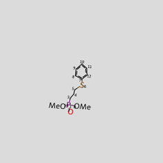 COP(=O)(CCCSc1ccccc1)OC